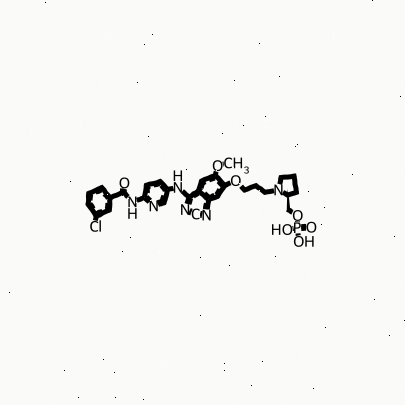 COc1cc2c(Nc3ccc(NC(=O)c4cccc(Cl)c4)nc3)ncnc2cc1OCCCN1CCC[C@H]1COP(=O)(O)O